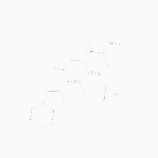 Cc1c(N2CC3=CCCNC3C2)c(F)cn2c(=O)c(C(=O)O)cc(C3CC3)c12